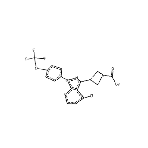 O=C(O)N1CC(c2nn(-c3ccc(OC(F)(F)F)cc3)c3nccc(Cl)c23)C1